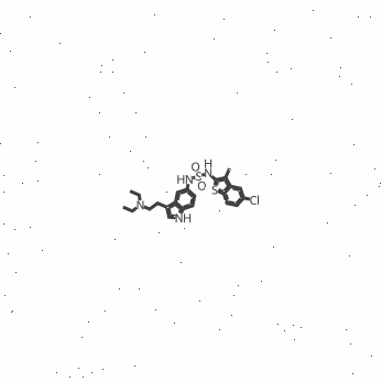 CCN(CC)CCc1c[nH]c2ccc(NS(=O)(=O)Nc3sc4ccc(Cl)cc4c3C)cc12